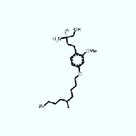 COc1cc(OCCCCC(C)CCCC(C)C)ccc1CC[C@@](N)(CO)C(C)C